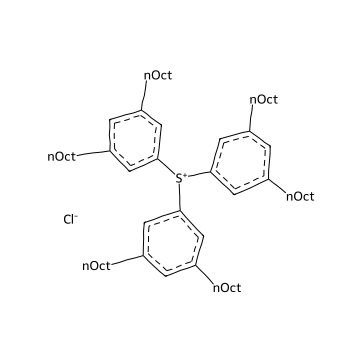 CCCCCCCCc1cc(CCCCCCCC)cc([S+](c2cc(CCCCCCCC)cc(CCCCCCCC)c2)c2cc(CCCCCCCC)cc(CCCCCCCC)c2)c1.[Cl-]